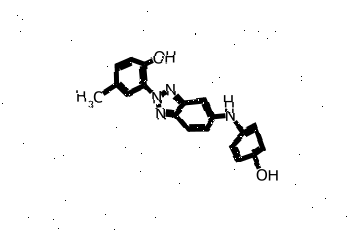 Cc1ccc(O)c(-n2nc3ccc(Nc4ccc(O)cc4)cc3n2)c1